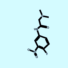 CN(C)CC(=O)Nc1ccc(F)c([N+](=O)[O-])c1